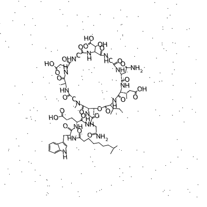 CCC(C)C1NC(=O)C(C(C)CC(=O)O)NC(=O)C(CC(N)=O)NC(=O)CNC(=O)C(C(O)C(=O)O)NC(=O)CNC(=O)C(CC(=O)O)NC(=O)C(C)NC(=O)CN(C)C(=O)C(NC(=O)C(CC(N)=O)NC(=O)C(CCC(=O)O)NC(=O)C(Cc2c[nH]c3ccccc23)NC(=O)CCCCCCC(C)C)C(C)OC1=O